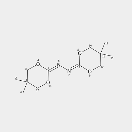 CC1(C)COC(=NN=C2OCC(C)(C)CO2)OC1